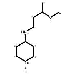 COC(C)CCN[C@H]1CC[C@H](C)CC1